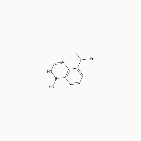 CC(C)C(C)c1cccc2c1N=CNB2O